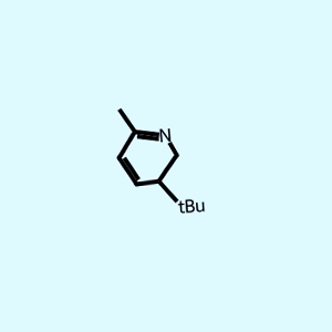 CC1=NCC(C(C)(C)C)C=C1